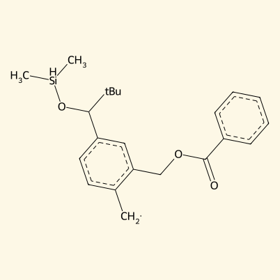 [CH2]c1ccc(C(O[SiH](C)C)C(C)(C)C)cc1COC(=O)c1ccccc1